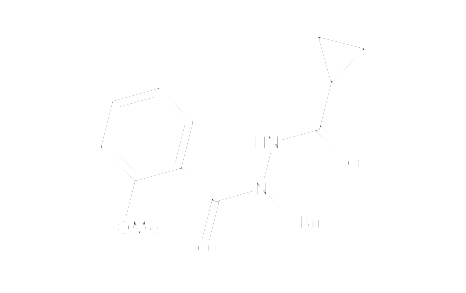 COc1ccccc1C(=O)N(NC(=O)C1CC1)C(C)(C)C